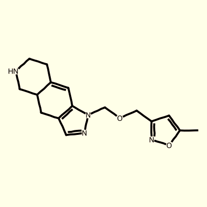 Cc1cc(COCn2ncc3c2C=C2CCNCC2C3)no1